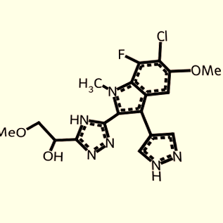 COCC(O)c1nnc(-c2c(-c3cn[nH]c3)c3cc(OC)c(Cl)c(F)c3n2C)[nH]1